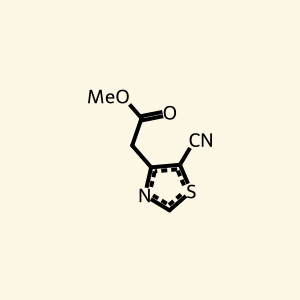 COC(=O)Cc1ncsc1C#N